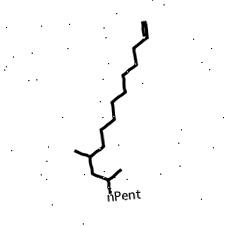 C=CCCCCCCCCC(C)CC(C)CCCCC